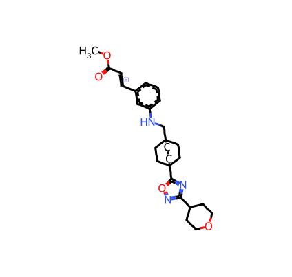 COC(=O)/C=C/c1cccc(NCC23CCC(c4nc(C5CCOCC5)no4)(CC2)CC3)c1